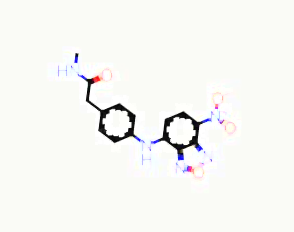 CNC(=O)Cc1ccc(Nc2ccc([N+](=O)[O-])c3nonc23)cc1